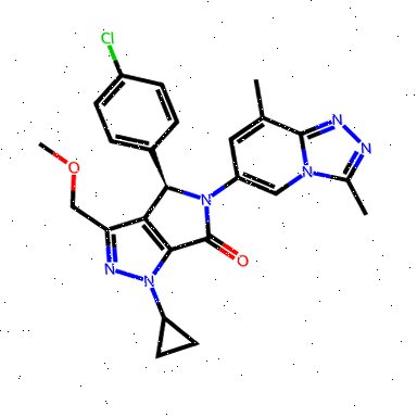 COCc1nn(C2CC2)c2c1[C@@H](c1ccc(Cl)cc1)N(c1cc(C)c3nnc(C)n3c1)C2=O